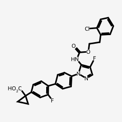 O=C(Nc1c(F)cnn1-c1ccc(-c2ccc(C3(C(=O)O)CC3)cc2F)cc1)OCCc1ccccc1Cl